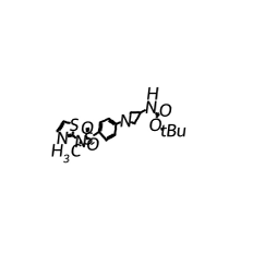 CN(c1nccs1)S(=O)(=O)c1ccc(N2CC(NC(=O)OC(C)(C)C)C2)cc1